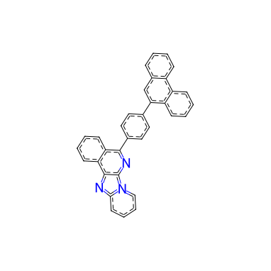 c1ccc2c(c1)cc(-c1ccc(-c3nc4c(nc5ccccn54)c4ccccc34)cc1)c1ccccc12